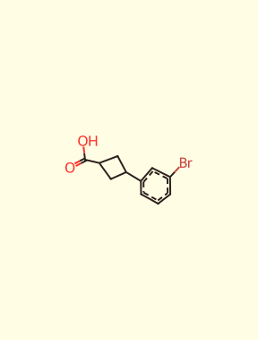 O=C(O)C1CC(c2cccc(Br)c2)C1